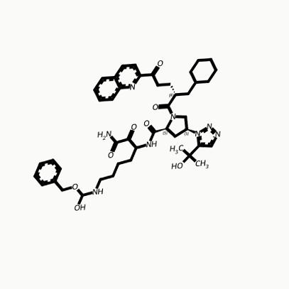 CC(C)(O)c1cnnn1[C@H]1C[C@@H](C(=O)NC(CCCCNC(O)OCc2ccccc2)C(=O)C(N)=O)N(C(=O)[C@H](CCC(=O)c2ccc3ccccc3n2)CC2CCCCC2)C1